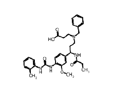 CCC(=O)NC(CCN(CCC(=O)O)Cc1ccccc1)c1ccc(NC(=O)Nc2ccccc2C)c(OC)c1